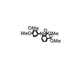 COC(=O)c1cccc(Nc2ccc(OC)cc2OC)c1C(=O)OC